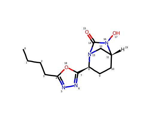 CCCCc1nnc([C@@H]2CC[C@@H]3CN2C(=O)N3O)o1